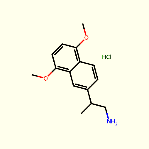 COc1ccc(OC)c2cc(C(C)CN)ccc12.Cl